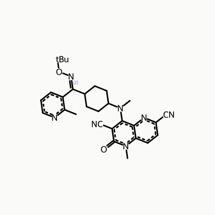 Cc1ncccc1/C(=N\OC(C)(C)C)C1CCC(N(C)c2c(C#N)c(=O)n(C)c3ccc(C#N)nc23)CC1